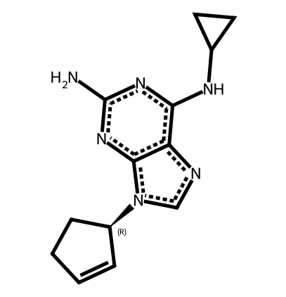 Nc1nc(NC2CC2)c2ncn([C@H]3C=CCC3)c2n1